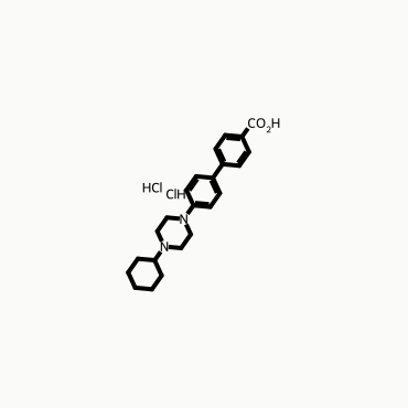 Cl.Cl.O=C(O)c1ccc(-c2ccc(N3CCN(C4CCCCC4)CC3)cc2)cc1